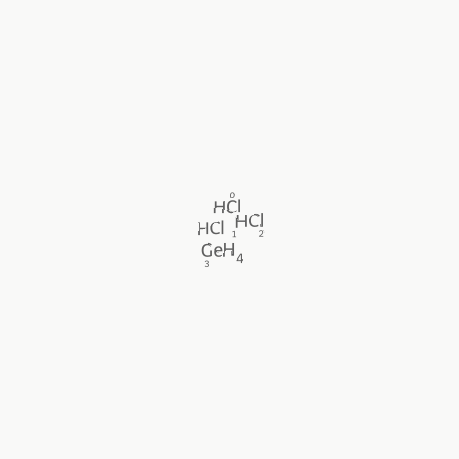 Cl.Cl.Cl.[GeH4]